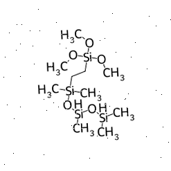 CO[Si](CC[Si](C)(C)O[SiH](C)O[SiH](C)C)(OC)OC